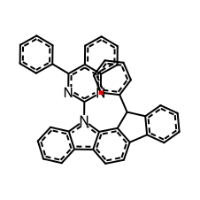 c1ccc(-c2nc(-n3c4ccccc4c4ccc5c(c43)C(c3ccccc3)c3ccccc3-5)nc3ccccc23)cc1